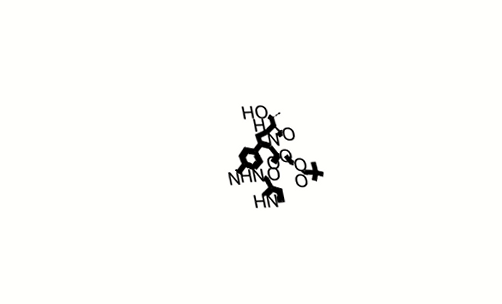 C[C@@H](O)[C@H]1C(=O)N2C(C(=O)OCOC(=O)C(C)(C)C)=C(c3ccc(C#N)c(NC(=O)c4cc[nH]c4)c3)C[C@H]12